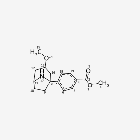 COC(=O)c1ccc(C23CCC(CC(OC)C2)N3)cc1